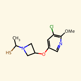 COc1ncc(OC2CN(C(C)S)C2)cc1Cl